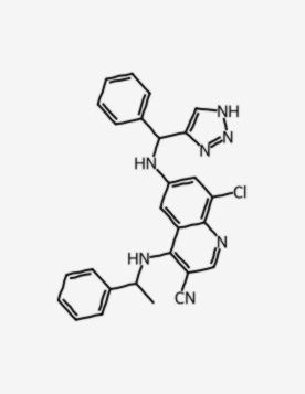 CC(Nc1c(C#N)cnc2c(Cl)cc(NC(c3ccccc3)c3c[nH]nn3)cc12)c1ccccc1